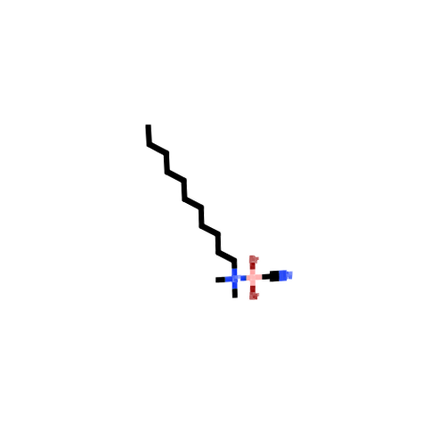 CCCCCCCCCCC[N+](C)(C)[B-](Br)(Br)C#N